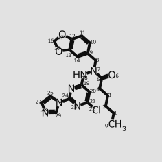 CCCCCC(=O)N(Cc1ccc2c(c1)OCO2)Nc1cc(Cl)nc(-n2ccnc2)n1